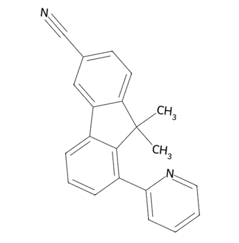 CC1(C)c2ccc(C#N)cc2-c2cccc(-c3ccccn3)c21